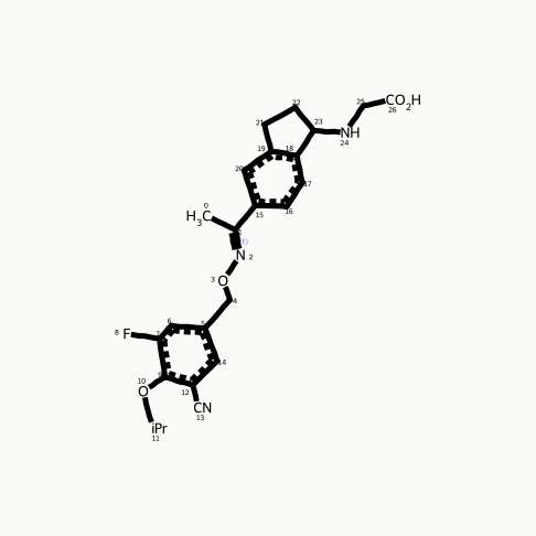 C/C(=N\OCc1cc(F)c(OC(C)C)c(C#N)c1)c1ccc2c(c1)CCC2NCC(=O)O